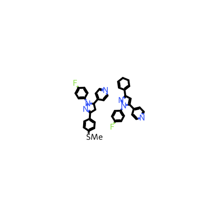 CSc1ccc(C2=NN(c3ccc(F)cc3)C(c3ccncc3)C2)cc1.Fc1ccc(-n2nc(C3=CCCC=C3)cc2-c2ccncc2)cc1